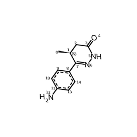 C[C@H]1CC(=O)NN=C1c1ccc(N)cc1